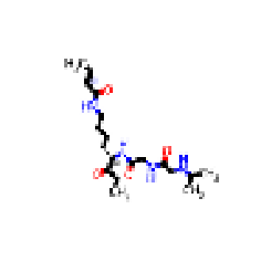 C/C=C/C(=O)NCCCC[C@H](NC(=O)CNC(=O)CNC(C)C)C(=O)CC